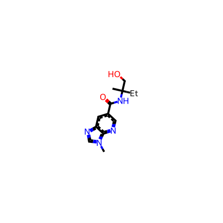 CCC(C)(CO)NC(=O)c1cnc2c(c1)ncn2C